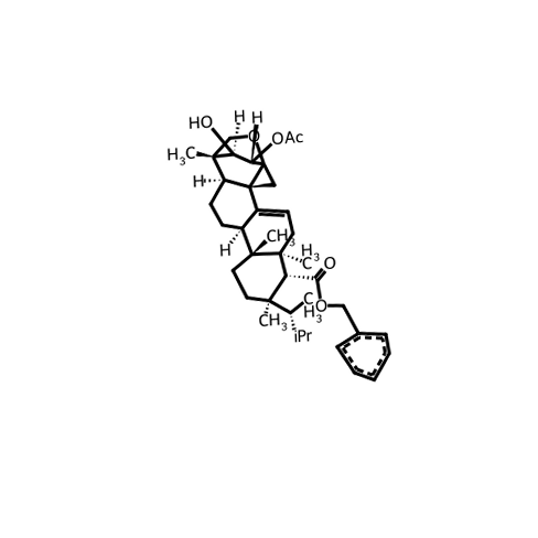 CC(=O)O[C@H]1[C@H](O)[C@@]2(C)COC13C[C@]31C3=CC[C@@]4(C)[C@H](C(=O)OCc5ccccc5)[C@@](C)([C@H](C)C(C)C)CC[C@]4(C)[C@H]3CC[C@@H]21